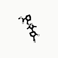 COC(=O)c1ccccc1Cn1nc(C)c(-c2ccc(C#N)c(Cl)c2)c1C